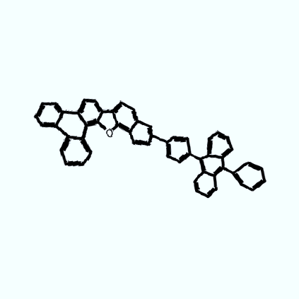 c1ccc(-c2c3ccccc3c(-c3ccc(-c4ccc5c(ccc6c7ccc8c9ccccc9c9ccccc9c8c7oc56)c4)cc3)c3ccccc23)cc1